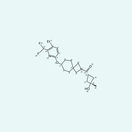 CCc1ccc(OC2CCC3(CC2)CN(C(=O)[C@H]2C[C@@](C)(O)C2)C3)nc1C(F)F